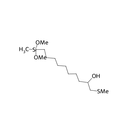 CO[Si](C)(CCCCCCCCC(O)CSC)OC